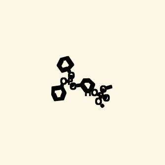 COP(=O)(O)OC.c1ccc(OP(Oc2ccccc2)Oc2ccccc2)cc1